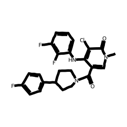 Cn1cc(C(=O)N2CCC(c3ccc(F)cc3)CC2)c(Nc2cccc(F)c2F)c(Cl)c1=O